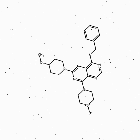 COC1CCN(c2nc(N3CC[S+]([O-])CC3)c3ncnc(SCc4ccccc4)c3n2)CC1